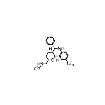 CCCNC[C@H]1CC[C@@H]2[C@H](O1)c1cc(C(F)(F)F)ccc1N[C@H]2c1ccccc1